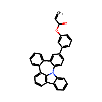 C=CC(=O)Oc1cccc(-c2ccc3c(c2)-c2ccccc2-c2cccc4c5ccccc5n-3c24)c1